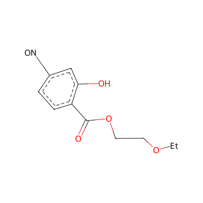 CCOCCOC(=O)c1ccc(N=O)cc1O